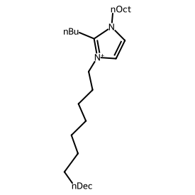 CCCCCCCCCCCCCCCCC[n+]1ccn(CCCCCCCC)c1CCCC